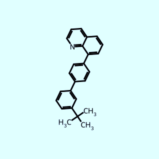 CC(C)(C)c1cccc(-c2ccc(-c3cccc4cccnc34)cc2)c1